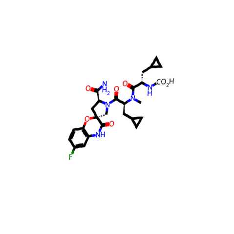 CN(C(=O)[C@H](CC1CC1)NC(=O)O)[C@@H](CC1CC1)C(=O)N1C[C@@]2(C[C@H]1C(N)=O)Oc1ccc(F)cc1NC2=O